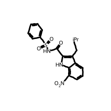 CC(C)Cc1c(C(=O)NS(=O)(=O)c2ccccc2)[nH]c2c([N+](=O)[O-])cccc12